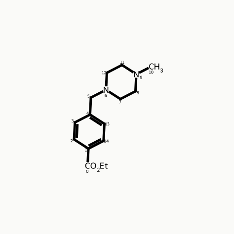 [CH2]COC(=O)c1ccc(CN2CCN(C)CC2)cc1